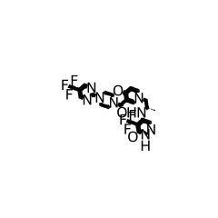 C[C@@H](Cn1ccc(=O)c(C(=O)N2CCN(c3ncc(C(F)(F)F)cn3)CC2)c1)Nc1cn[nH]c(=O)c1C(F)(F)F